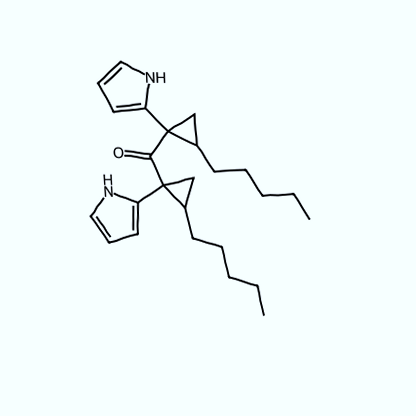 CCCCCC1CC1(C(=O)C1(c2ccc[nH]2)CC1CCCCC)c1ccc[nH]1